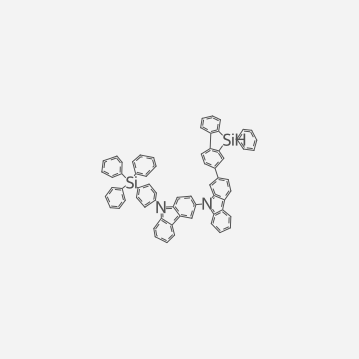 c1ccc([SiH]2c3ccccc3-c3ccc(-c4ccc5c6ccccc6n(-c6ccc7c(c6)c6ccccc6n7-c6ccc([Si](c7ccccc7)(c7ccccc7)c7ccccc7)cc6)c5c4)cc32)cc1